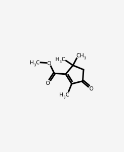 COC(=O)C1=C(C)C(=O)CC1(C)C